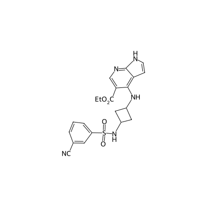 CCOC(=O)c1cnc2[nH]ccc2c1NC1CC(NS(=O)(=O)c2cccc(C#N)c2)C1